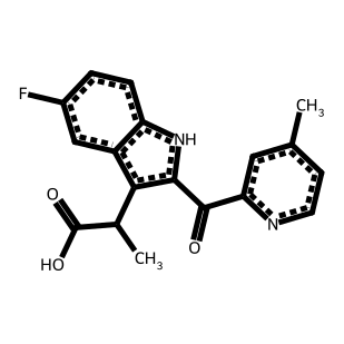 Cc1ccnc(C(=O)c2[nH]c3ccc(F)cc3c2C(C)C(=O)O)c1